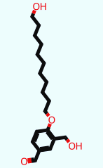 O=Cc1ccc(OCCCCCCCCCCCO)c(CO)c1